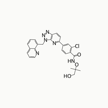 CC(C)(CO)ONC(=O)c1ccc(-c2ccc3nnn(Cc4cccc5cccnc45)c3n2)cc1Cl